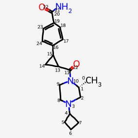 C[C@@H]1CN(C2CCC2)CCN1C(=O)C1CC1c1ccc(C(N)=O)cc1